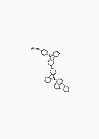 CCCCCCc1ccc(-n2c3ccccc3c3cc(-c4ccc5c(c4)c4ccccc4n5-c4ccc5c6c(cccc46)-c4ccccc4-5)ccc32)cc1